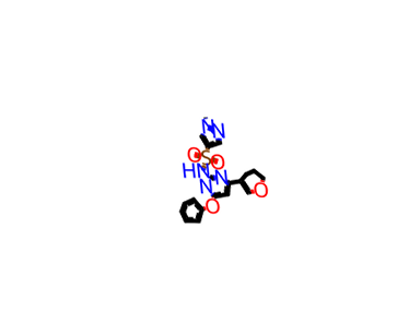 Cn1cc(S(=O)(=O)Nc2nc(Oc3ccccc3)cc(C3=COCCC3)n2)cn1